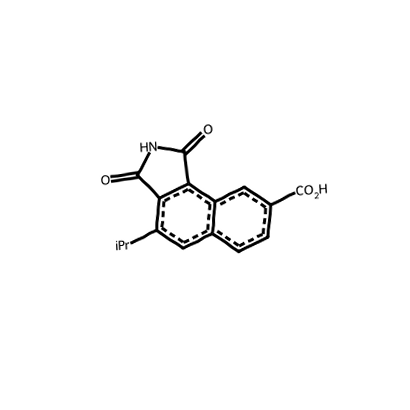 CC(C)c1cc2ccc(C(=O)O)cc2c2c1C(=O)NC2=O